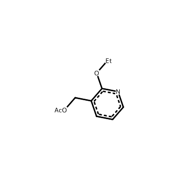 CCOc1ncccc1COC(C)=O